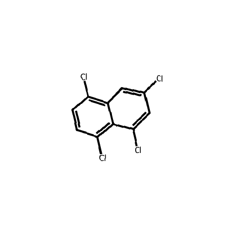 Clc1cc(Cl)c2c(Cl)ccc(Cl)c2c1